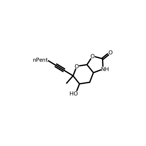 CCCCCC#CC1(C)OC2OC(=O)NC2CC1O